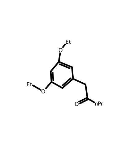 CCCC(=O)Cc1cc(OCC)cc(OCC)c1